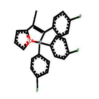 CC1=C(c2ccc(F)cc2)[B-](c2ccc(F)cc2)(c2ccc(F)cc2)[o+]2cccc21